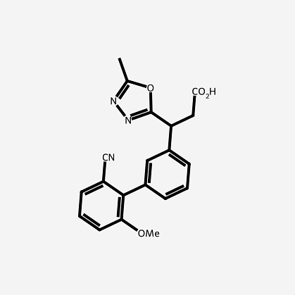 COc1cccc(C#N)c1-c1cccc(C(CC(=O)O)c2nnc(C)o2)c1